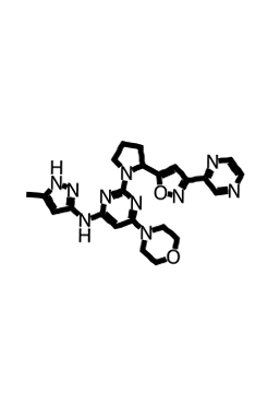 Cc1cc(Nc2cc(N3CCOCC3)nc(N3CCCC3c3cc(-c4cnccn4)no3)n2)n[nH]1